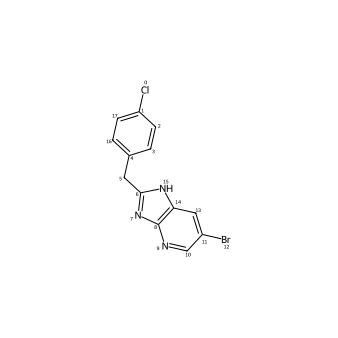 Clc1ccc(Cc2nc3ncc(Br)cc3[nH]2)cc1